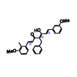 COc1cccc(/C=C/C(O)=C(\Cc2ccccc2)C(=O)/C=C/c2cccc(OC)c2C)c1